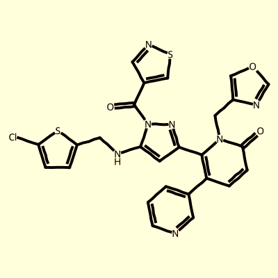 O=C(c1cnsc1)n1nc(-c2c(-c3cccnc3)ccc(=O)n2Cc2cocn2)cc1NCc1ccc(Cl)s1